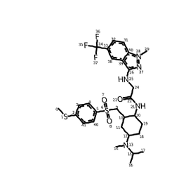 CSc1ccc(S(=O)(=O)CC2CC(N(C)C(C)C)CCC2NC(=O)CNc2nn(C)c3ccc(C(F)(F)F)cc23)cc1